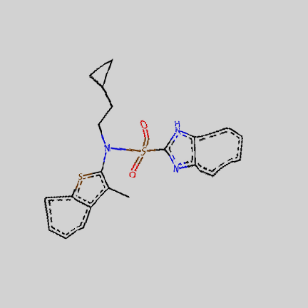 Cc1c(N(CCC2CC2)S(=O)(=O)c2nc3ccccc3[nH]2)sc2ccccc12